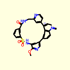 C=Nc1ccc2cc1/C(=C\C)c1ccnc(c1)CNC(=O)c1cccc(c1)S(=O)(=O)Nc1cc-2cnc1OC